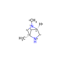 CN1C[C@@]2(C)C[C@@H]1CN2